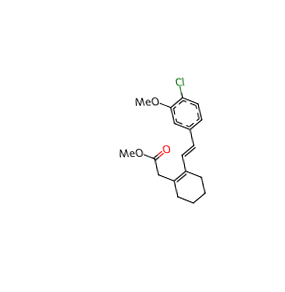 COC(=O)CC1=C(C=Cc2ccc(Cl)c(OC)c2)CCCC1